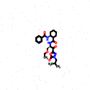 CCOC[C@H](NC(=O)C1CCCC[C@@H]1NC(=O)c1ccccc1)C(=O)c1nn(CC(C)C)c(=O)o1